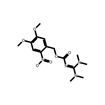 COc1cc(COC(=O)N=C(N(C)C)N(C)C)c([N+](=O)[O-])cc1OC